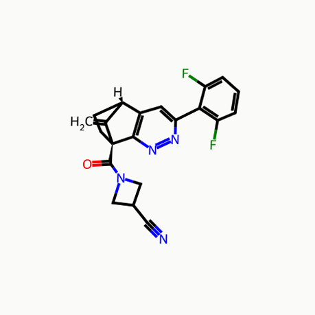 C=C1[C@@H]2CC[C@@]1(C(=O)N1CC(C#N)C1)c1nnc(-c3c(F)cccc3F)cc12